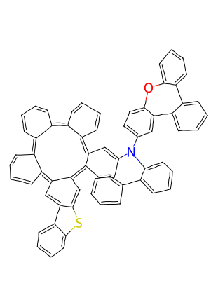 c1ccc(-c2ccccc2N(c2ccc3c(c2)-c2ccccc2-c2ccccc2O3)c2ccc3c(c2)c2ccccc2c2ccccc2c2ccccc2c2cc4c(cc32)sc2ccccc24)cc1